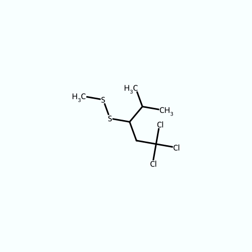 CSSC(CC(Cl)(Cl)Cl)C(C)C